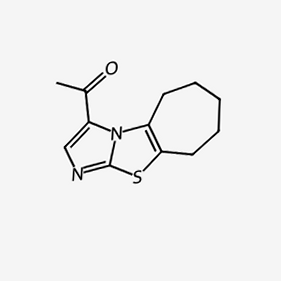 CC(=O)c1cnc2sc3c(n12)CCCCC3